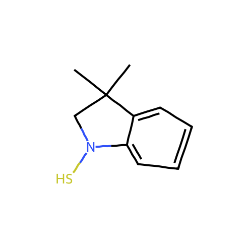 CC1(C)CN(S)c2ccccc21